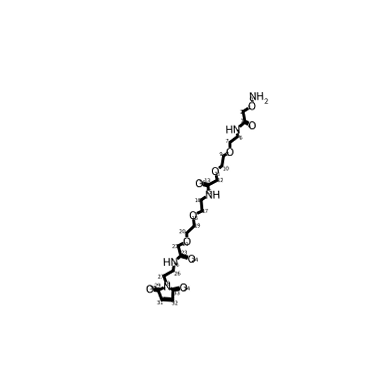 NOCC(=O)NCCOCCOCC(=O)NCCOCCOCC(=O)NCCN1C(=O)C=CC1=O